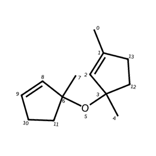 CC1=CC(C)(OC2(C)C=CCC2)CC1